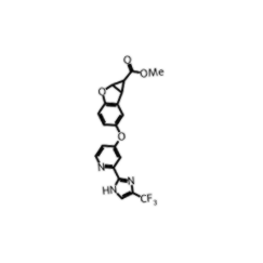 COC(=O)C1C2Oc3ccc(Oc4ccnc(-c5nc(C(F)(F)F)c[nH]5)c4)cc3C21